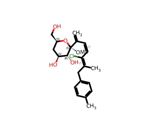 C=C(/C=C\C(Cl)=C(/C)Cc1ccc(C)cc1)[C@]1(OC)O[C@H](CO)C[C@H](O)[C@H]1O